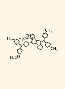 COc1ccc(N(c2ccc(C)cc2)c2ccc3c(c2)C(C)(C)c2cccc4c2c-3cc2c3ccccc3c(N(c3ccc(C)cc3)c3ccc(C)cc3)cc42)cc1